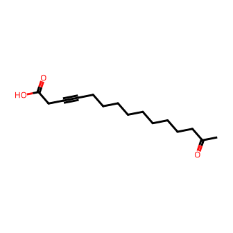 CC(=O)CCCCCCCCCC#CCC(=O)O